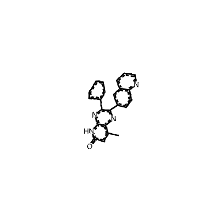 Cc1cc(=O)[nH]c2nc(-c3ccccc3)c(-c3ccc4ncccc4c3)nc12